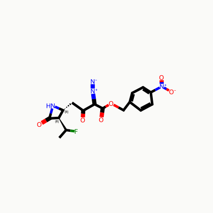 CC(F)[C@H]1C(=O)N[C@@H]1CC(=O)C(=[N+]=[N-])C(=O)OCc1ccc([N+](=O)[O-])cc1